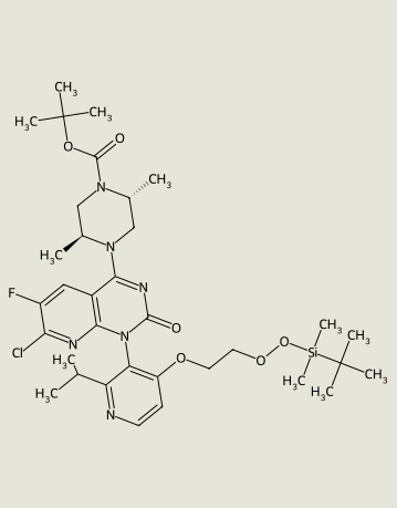 CC(C)c1nccc(OCCOO[Si](C)(C)C(C)(C)C)c1-n1c(=O)nc(N2C[C@@H](C)N(C(=O)OC(C)(C)C)C[C@@H]2C)c2cc(F)c(Cl)nc21